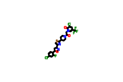 O=C(Cn1cc(C(F)(F)F)cc(Cl)c1=O)N1CCC(c2nc(C3=NOC(c4ccc(Cl)cc4F)C3)cs2)CC1